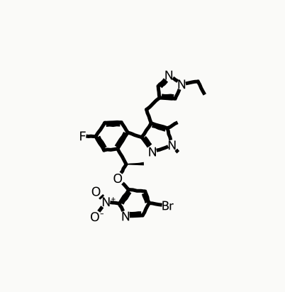 CCn1cc(Cc2c(-c3ccc(F)cc3[C@@H](C)Oc3cc(Br)cnc3[N+](=O)[O-])nn(C)c2C)cn1